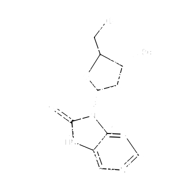 CC(C)(C)CC1O[C@@H](n2c(=O)[nH]c3cncnc32)C[C@H]1C(C)(C)C